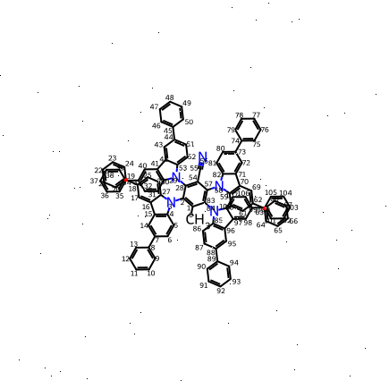 Cc1c(-n2c3ccc(-c4ccccc4)cc3c3cc(-c4ccccc4)ccc32)c(-n2c3ccc(-c4ccccc4)cc3c3cc(-c4ccccc4)ccc32)c(C#N)c(-n2c3ccc(-c4ccccc4)cc3c3cc(-c4ccccc4)ccc32)c1-n1c2ccc(-c3ccccc3)cc2c2cc(-c3ccccc3)ccc21